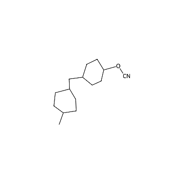 CC1CCC(CC2CCC(OC#N)CC2)CC1